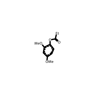 [CH2]CC(=O)Oc1ccc(OC)cc1OC